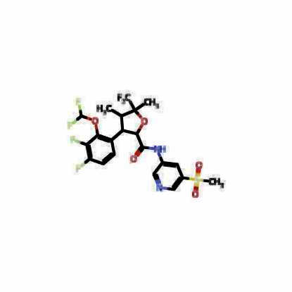 CC1C(c2ccc(F)c(F)c2OC(F)F)C(C(=O)Nc2cncc(S(C)(=O)=O)c2)OC1(C)C(F)(F)F